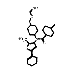 CC1CCC(C(=O)N(c2cc(C3=CCCCC3)sc2C(=O)O)C2CCC(COC=N)CC2)CC1